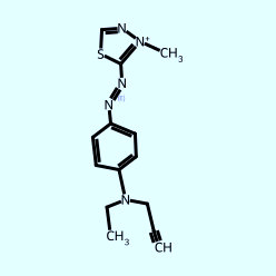 C#CCN(CC)c1ccc(/N=N/c2scn[n+]2C)cc1